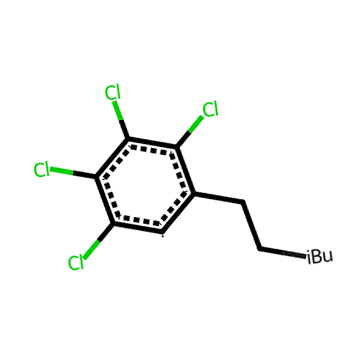 CCC(C)CCc1[c]c(Cl)c(Cl)c(Cl)c1Cl